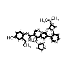 CCc1cc(O)ccc1/N=C(\N)c1cnn2cc(-c3cnccc3N3CC(N(C)C)C3)cc2c1N[C@H]1CCOC1